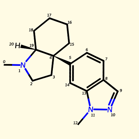 CN1CC[C@@]2(c3ccc4cnn(C)c4c3)CCCC[C@@H]12